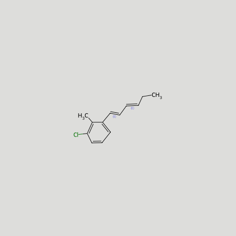 CC/C=C/C=C/c1cccc(Cl)c1C